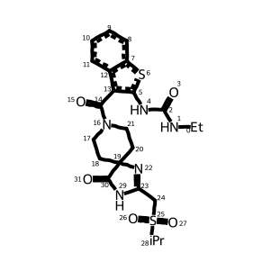 CCNC(=O)Nc1sc2ccccc2c1C(=O)N1CCC2(CC1)N=C(CS(=O)(=O)C(C)C)NC2=O